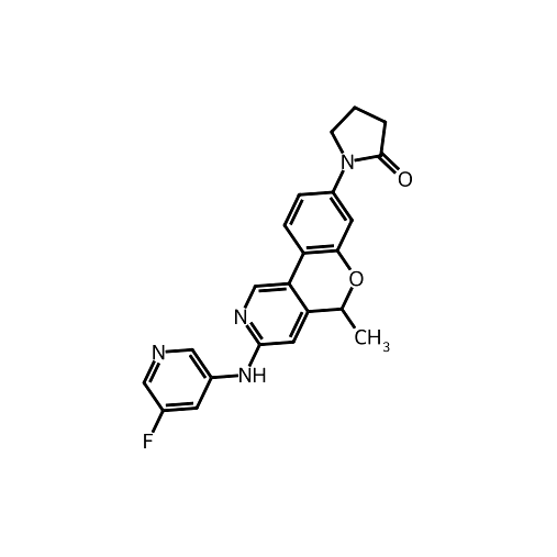 CC1Oc2cc(N3CCCC3=O)ccc2-c2cnc(Nc3cncc(F)c3)cc21